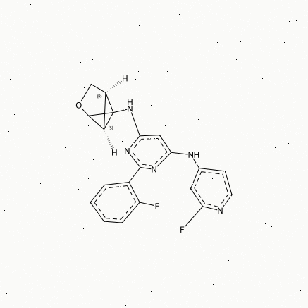 Fc1cc(Nc2cc(NC34C5OC[C@@H]3[C@H]54)nc(-c3ccccc3F)n2)ccn1